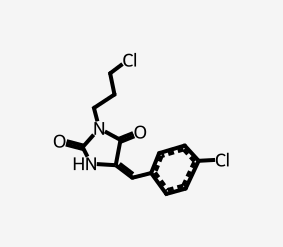 O=C1NC(=Cc2ccc(Cl)cc2)C(=O)N1CCCCl